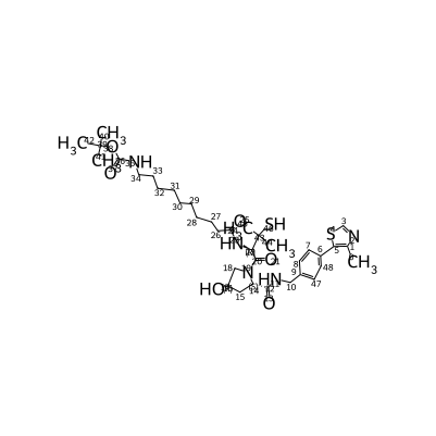 Cc1ncsc1-c1ccc(CNC(=O)[C@@H]2C[C@@H](O)CN2C(=O)[C@@H](NC(=O)CCCCCCCCCNC(=O)OC(C)(C)C)C(C)(C)S)cc1